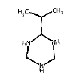 CC(C)C1NCNCN1